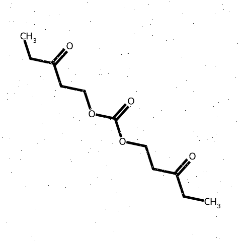 CCC(=O)CCOC(=O)OCCC(=O)CC